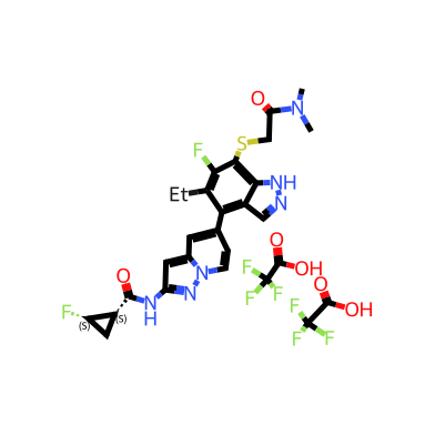 CCc1c(F)c(SCC(=O)N(C)C)c2[nH]ncc2c1-c1ccn2nc(NC(=O)[C@@H]3C[C@@H]3F)cc2c1.O=C(O)C(F)(F)F.O=C(O)C(F)(F)F